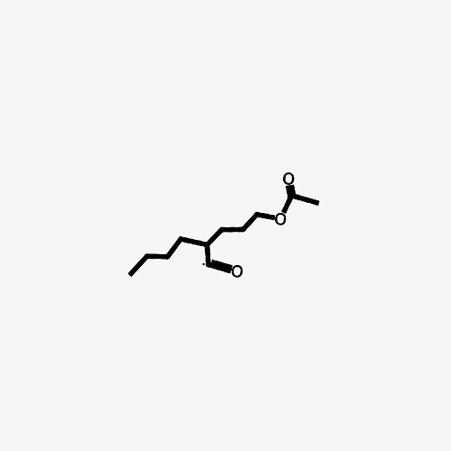 CCCCC([C]=O)CCCOC(C)=O